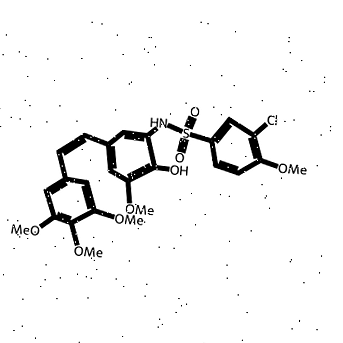 COc1ccc(S(=O)(=O)Nc2cc(/C=C\c3cc(OC)c(OC)c(OC)c3)cc(OC)c2O)cc1Cl